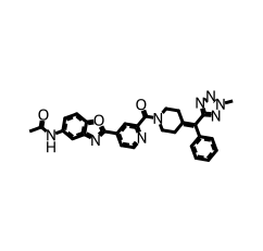 CC(=O)Nc1ccc2oc(-c3ccnc(C(=O)N4CCC(=C(c5ccccc5)c5nnn(C)n5)CC4)c3)nc2c1